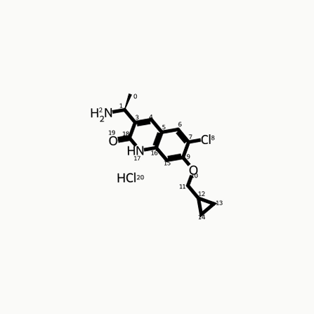 C[C@H](N)c1cc2cc(Cl)c(OCC3CC3)cc2[nH]c1=O.Cl